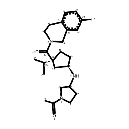 CC(=O)N1CCC(N[C@@H]2CC[C@@](C(=O)N3CCc4ccc(I)cc4C3)(C(C)C)C2)C1